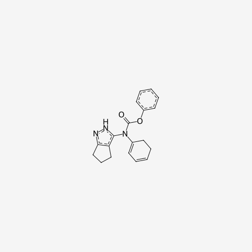 O=C(Oc1ccccc1)N(C1=CC=CCC1)c1[nH]nc2c1CCC2